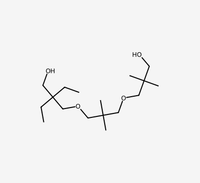 CCC(CC)(CO)COCC(C)(C)COCC(C)(C)CO